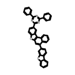 c1ccc(-c2nc(-c3ccccc3)nc(-c3ccc4oc5cc(-c6ccc7c(c6)sc6ccccc67)c6ccccc6c5c4c3)n2)cc1